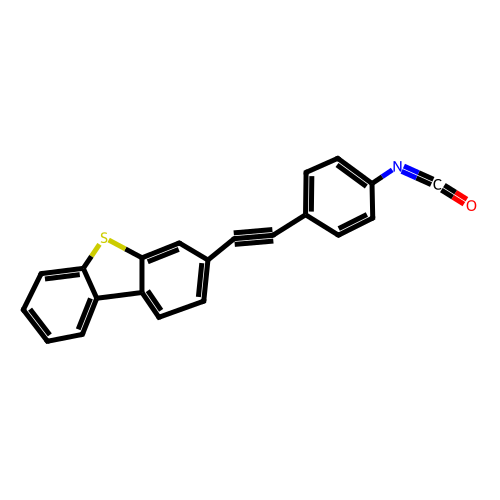 O=C=Nc1ccc(C#Cc2ccc3c(c2)sc2ccccc23)cc1